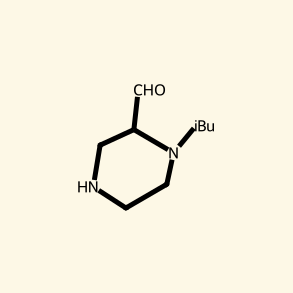 CCC(C)N1CCNCC1C=O